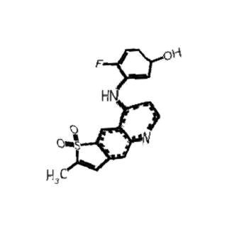 CC1=Cc2cc3nccc(NC4=CC(O)CC=C4F)c3cc2S1(=O)=O